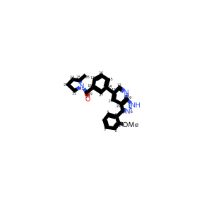 COc1ccccc1-c1n[nH]c2ncc(-c3cccc(C(=O)N4CCCC4C)c3)cc12